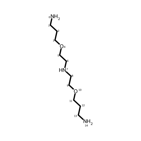 NCCCOCCNCCOCCCN